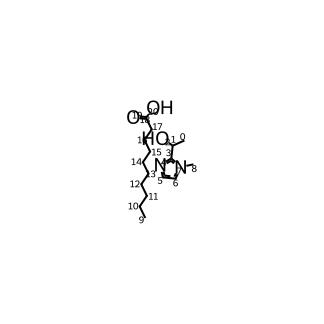 CC(O)c1nccn1C.CCCCCCCCCC(=O)O